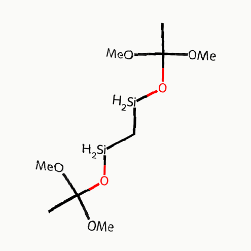 COC(C)(OC)O[SiH2]C[SiH2]OC(C)(OC)OC